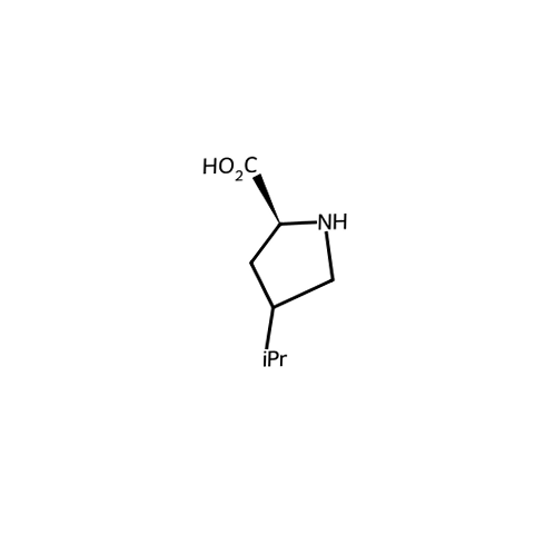 CC(C)C1CN[C@H](C(=O)O)C1